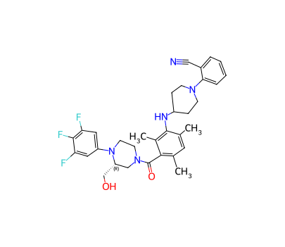 Cc1cc(C)c(C(=O)N2CCN(c3cc(F)c(F)c(F)c3)[C@@H](CO)C2)c(C)c1NC1CCN(c2ccccc2C#N)CC1